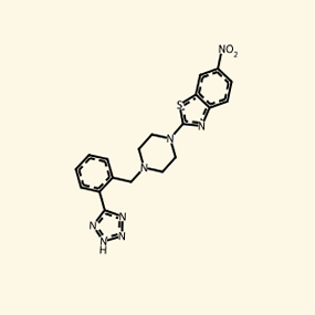 O=[N+]([O-])c1ccc2nc(N3CCN(Cc4ccccc4-c4nn[nH]n4)CC3)sc2c1